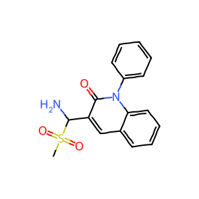 CS(=O)(=O)C(N)c1cc2ccccc2n(-c2ccccc2)c1=O